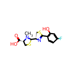 CN1[C@@H](C(=O)O)CS[C@@H]1[C@@H]1CSC(c2ccc(F)cc2O)=N1